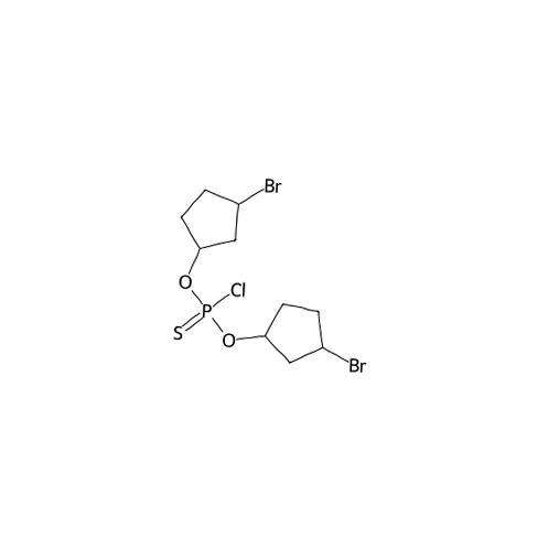 S=P(Cl)(OC1CCC(Br)C1)OC1CCC(Br)C1